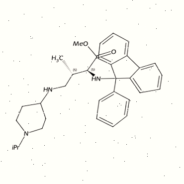 COC(=O)[C@@H](NC1(c2ccccc2)c2ccccc2-c2ccccc21)[C@@H](C)CNC1CCN(C(C)C)CC1